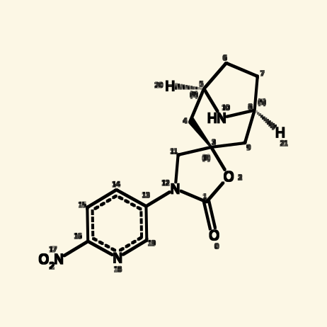 O=C1O[C@]2(C[C@H]3CC[C@@H](C2)N3)CN1c1ccc([N+](=O)[O-])nc1